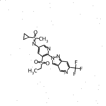 CCS(=O)(=O)c1cc(N=S(C)(=O)C2CC2)cnc1-n1cc2cnc(C(F)(F)F)cc2n1